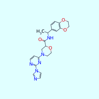 CC(NC(=O)C1CN(c2ccnc(-n3ccnc3)n2)CCO1)c1ccc2c(c1)OCCO2